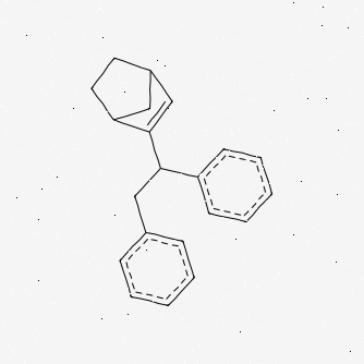 C1=C(C(Cc2ccccc2)c2ccccc2)C2CCC1C2